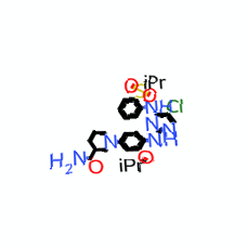 CC(C)Oc1cc(N2CCCC(C(N)=O)C2)ccc1Nc1ncc(Cl)c(Nc2ccccc2S(=O)(=O)C(C)C)n1